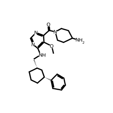 COc1c(NC[C@H]2CCC[C@@H](c3ccccc3)C2)ncnc1C(=O)N1CCC(N)CC1